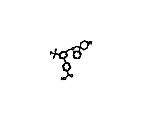 O=C(O)c1ccc(-c2cc(COCC3(c4ccccc4)CCNCC3)cc(C(F)(F)F)c2)cc1